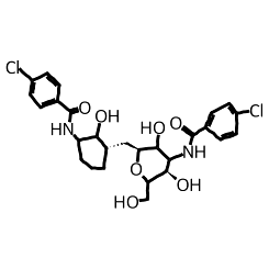 O=C(NC1CCC[C@@H](C[C@@H]2OC(CO)[C@H](O)C(NC(=O)c3ccc(Cl)cc3)C2O)C1O)c1ccc(Cl)cc1